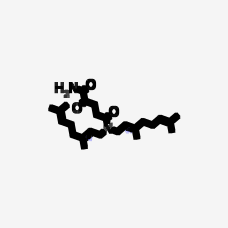 CC(C)=CCC/C(C)=C/CN(C/C=C(\C)CCC=C(C)C)C(=O)CCC(=O)C(N)=O